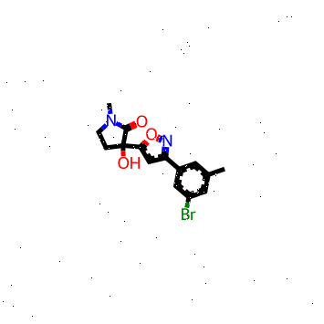 Cc1cc(Br)cc(-c2cc(C3(O)CCN(C)C3=O)on2)c1